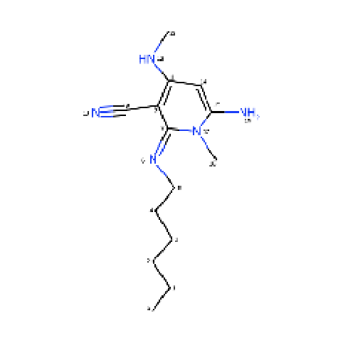 CCCCCCN=c1c(C#N)c(NC)cc(N)n1C